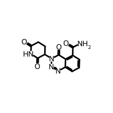 NC(=O)c1cccc2nnn(C3CCC(=O)NC3=O)c(=O)c12